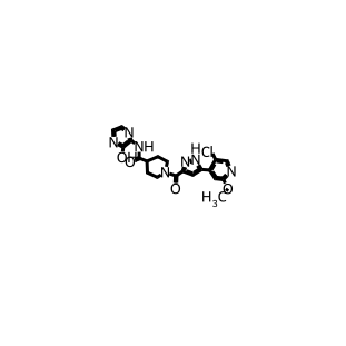 COc1cc(-c2cc(C(=O)N3CCC(C(=O)Nc4nccnc4O)CC3)n[nH]2)c(Cl)cn1